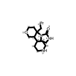 CC(C)CC1(N2CCNC2=O)CCOCC1C1CCNCC1